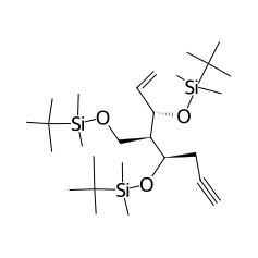 C#CC[C@@H](O[Si](C)(C)C(C)(C)C)[C@@H](CO[Si](C)(C)C(C)(C)C)[C@H](C=C)O[Si](C)(C)C(C)(C)C